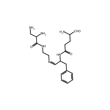 NCC(N)C(=O)NCC/N=C\C(Cc1ccccc1)NC(=O)CCC(N)C=O